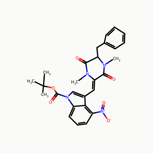 CN1C(=O)C(Cc2ccccc2)N(C)C(=O)/C1=C/c1cn(C(=O)OC(C)(C)C)c2cccc([N+](=O)[O-])c12